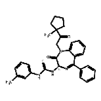 Cc1cccc(NC(=O)N[C@@H]2N=C(c3ccccc3)c3ccccc3N(CC(=O)C3(C)CCCC3)C2=O)c1